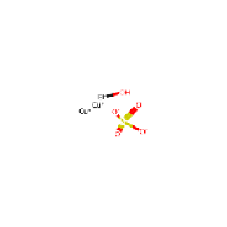 CCO.O=S(=O)([O-])[O-].[Cu+].[Cu+]